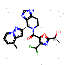 Cc1cccn2nc([C@@H]3c4nc[nH]c4CCN3C(=O)c3oc([C@@H](C)O)nc3C(F)F)cc12